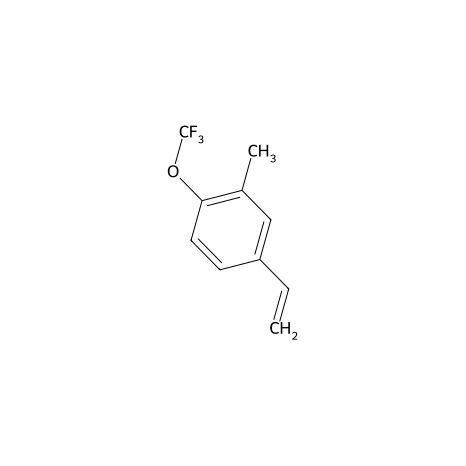 C=Cc1ccc(OC(F)(F)F)c(C)c1